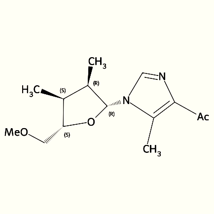 COC[C@H]1O[C@@H](n2cnc(C(C)=O)c2C)[C@H](C)[C@@H]1C